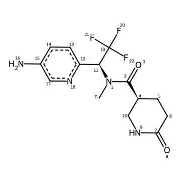 CN(C(=O)[C@H]1CCC(=O)NC1)[C@@H](c1ccc(N)cn1)C(F)(F)F